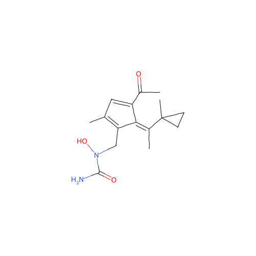 CC(=O)C1=CC(C)=C(CN(O)C(N)=O)/C1=C(\C)C1(C)CC1